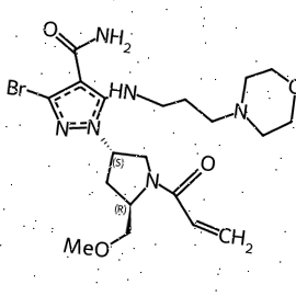 C=CC(=O)N1C[C@@H](n2nc(Br)c(C(N)=O)c2NCCCN2CCOCC2)C[C@@H]1COC